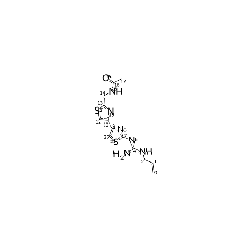 C=CCN/C(N)=N/c1nc(-c2csc(CNC(C)=O)n2)cs1